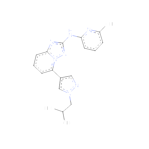 Cc1cccc(Nc2nc3cccc(-c4cnn(CC(C)C)c4)n3n2)n1